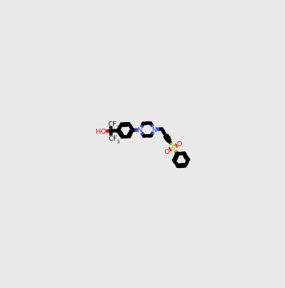 O=S(=O)(C#CCN1CCN(c2ccc(C(O)(C(F)(F)F)C(F)(F)F)cc2)CC1)c1ccccc1